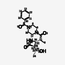 CC(C(=O)N1CCN(C(=O)c2ccccc2)CC1)[C@H]1NC(=O)[C@@H]1[C@@H](C)O